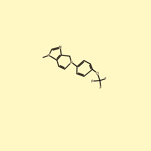 Cn1cnc2c1C=CN(c1ccc(OC(F)(F)F)cc1)C2